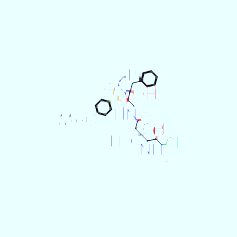 COc1ccc(S(=O)(=O)N(CC(C)C)C(O)(CCNC(=O)CC(C)(C)C(N)C(=O)CCl)Cc2ccccc2)cc1